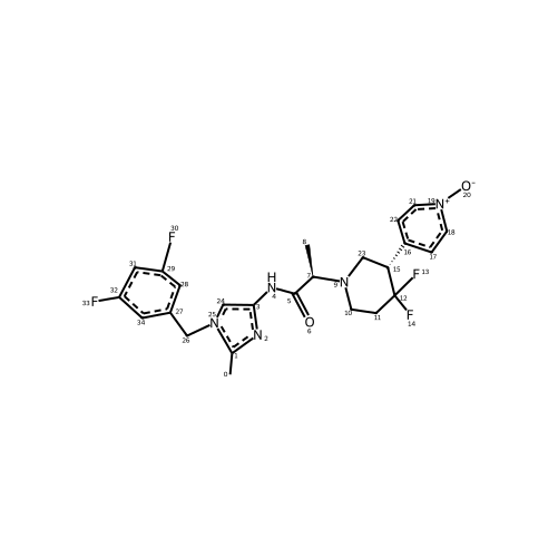 Cc1nc(NC(=O)[C@@H](C)N2CCC(F)(F)[C@@H](c3cc[n+]([O-])cc3)C2)cn1Cc1cc(F)cc(F)c1